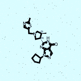 Cc1ncc(CN2C[C@@H](C)[C@H](c3nc4c(cnn4C4CCCC4)c(=O)[nH]3)C2)s1